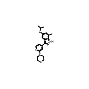 CC(C)Oc1cc(F)c2[nH]nc(-c3ccnc(N4CCOCC4)c3)c2c1